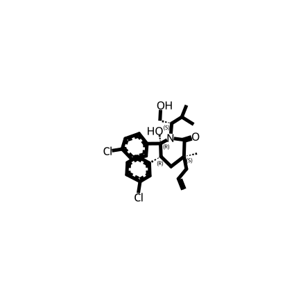 C=CC[C@@]1(C)C[C@H](c2cccc(Cl)c2)[C@@](O)(c2ccc(Cl)cc2)N([C@H](CO)C(C)C)C1=O